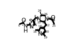 CC(=O)Nc1ncc(CN2CC(Cc3cc(C)nc(C)c3)N(C3OC3C)C[C@@H]2C)s1